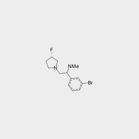 CNC(CN1CC[C@H](F)C1)c1cccc(Br)c1